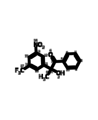 CC(O)(C(=O)c1ccccc1)c1cc([N+](=O)[O-])cc(C(F)(F)F)c1